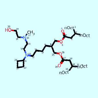 CCCCCCCCC(CCCCCCCC)CC(=O)OCC(CCCCN(CCN(C)CCO)C1CCC1)COC(=O)CC(CCCCCCCC)CCCCCCCC